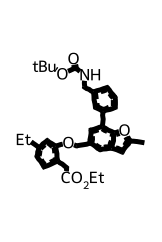 CCOC(=O)Cc1ccc(CC)cc1OCc1cc(-c2cccc(CNC(=O)OC(C)(C)C)c2)c2oc(C)cc2c1